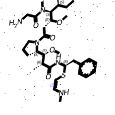 CC[C@H](C)[C@@H]([C@@H](CC(=O)N1CCC[C@H]1[C@H](OC)[C@@H](C)C(=O)N[C@@H](Cc1ccccc1)S/C=C\NC)OC)N(C)C(=O)CN